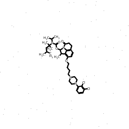 CC(C)CC(C)(C)N(C(=O)OC1C(C)c2c(OCCCCN3CCN(c4cccc(Cl)c4Cl)CC3)ccc3c2N1C(=O)CC3)C(C)C